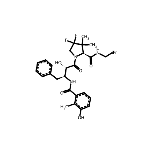 Cc1c(O)cccc1C(=O)N[C@@H](Cc1ccccc1)[C@H](O)C(=O)N1CC(F)(F)C(C)(C)[C@H]1C(=O)NCC(C)C